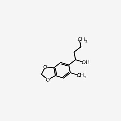 CCCC(O)c1cc2c(cc1C)OCO2